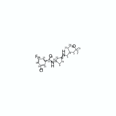 CC1(C)CC(CN[C@H]2CC[C@H](NC(=O)c3cc(F)cc(Cl)c3)C2)CCO1